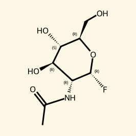 CC(=O)N[C@@H]1[C@@H](O)[C@H](O)[C@@H](CO)O[C@@H]1F